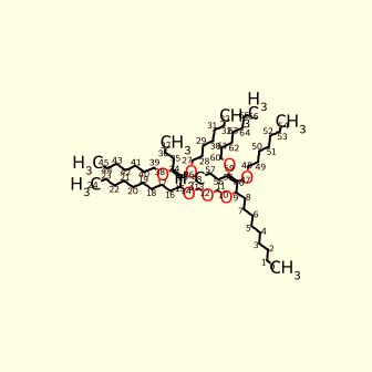 CCCCCCCCCC(OCOCOC(CCCCCCCCC)C(OCCCCCCC)=C(CCC)OCCCCCCC)C(OCCCCCCC)=C(CCC)OCCCCCCC